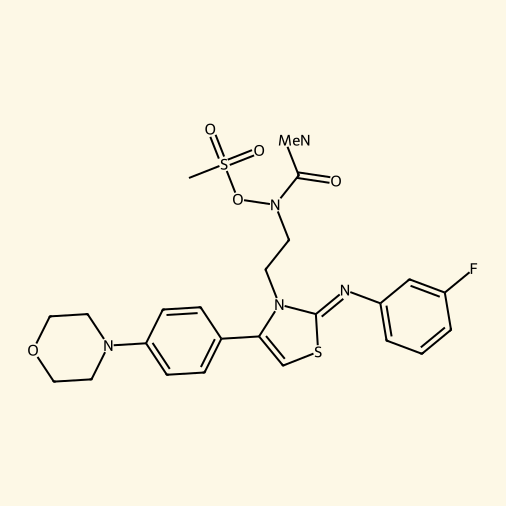 CNC(=O)N(CCn1c(-c2ccc(N3CCOCC3)cc2)csc1=Nc1cccc(F)c1)OS(C)(=O)=O